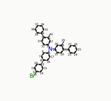 Cc1cc(N(c2ccc(-c3ccc(Br)cc3)cc2)c2ccc(-c3ccccc3)c(C)c2)ccc1-c1ccccc1